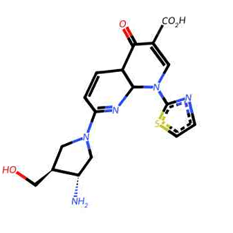 N[C@H]1CN(C2=NC3C(C=C2)C(=O)C(C(=O)O)=CN3c2nccs2)C[C@@H]1CO